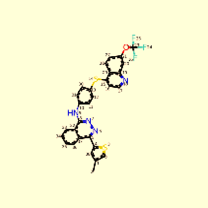 Cc1csc(-c2nnc(Nc3ccc(Sc4ccnc5cc(OC(F)(F)F)ccc45)cc3)c3ccccc23)c1